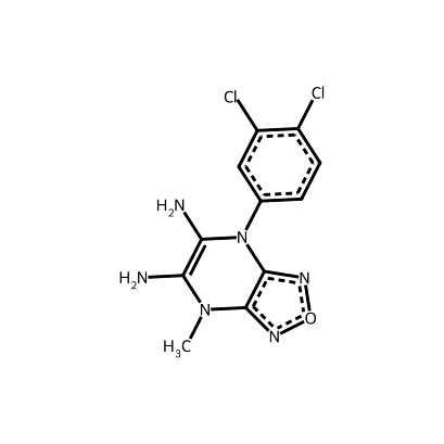 CN1C(N)=C(N)N(c2ccc(Cl)c(Cl)c2)c2nonc21